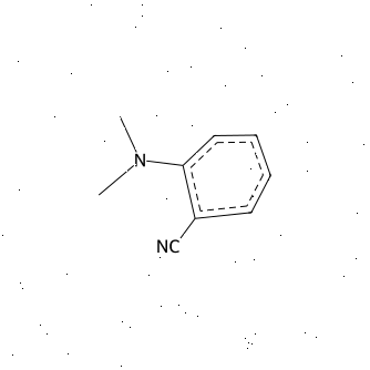 CN(C)c1ccccc1C#N